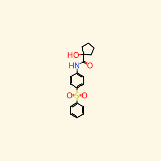 O=C(Nc1ccc(S(=O)(=O)c2ccccc2)cc1)C1(O)CCCC1